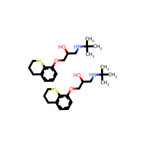 CC(C)(C)NCC(O)COc1cccc2c1SCCC2.CC(C)(C)NCC(O)COc1cccc2c1SCCC2